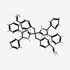 C=Cc1ccc(CC(Cc2ccc(C=C)cc2)(C2=N[C@H](c3ccccc3)C(c3ccccc3)O2)C2=N[C@H](c3ccccc3)C(c3ccccc3)O2)cc1